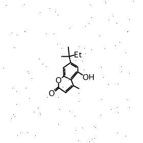 CCC(C)(C)c1cc(O)c2c(C)cc(=O)oc2c1